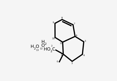 CC1(C(=O)O)CCCC2C=CCCC21.O.O